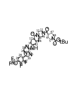 CC(C)(C)OC(=O)N1CCC(C(=O)N2CCN(C(=O)c3ccc(Nc4nccn5c(-c6ccc(OC(F)F)c(F)c6F)cnc45)cc3F)CC2)CC1